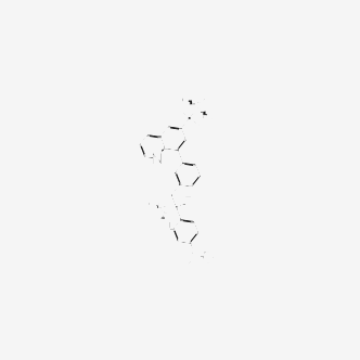 CC[S+]([O-])C(F)(Cc1cccc(-c2cc(C(C)(C)S(C)(=O)=O)cc3cccnc23)c1)c1ccc([S+](C)[O-])cc1